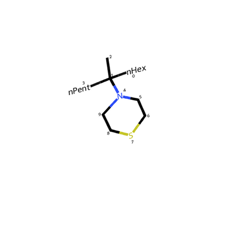 CCCCCCC(C)(CCCCC)N1CCSCC1